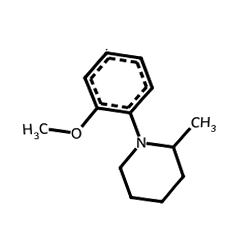 COc1c[c]ccc1N1CCCCC1C